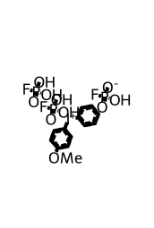 COc1ccc([I+]c2ccccc2)cc1.O=P(O)(O)F.O=P(O)(O)F.O=P([O-])(O)F